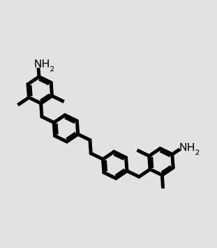 Cc1cc(N)cc(C)c1Cc1ccc(CCc2ccc(Cc3c(C)cc(N)cc3C)cc2)cc1